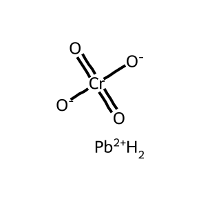 [O]=[Cr](=[O])([O-])[O-].[PbH2+2]